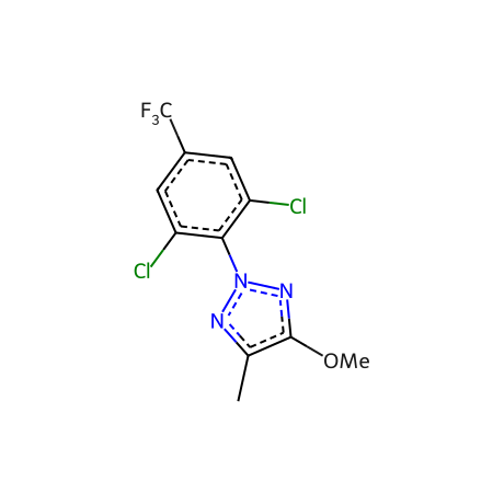 COc1nn(-c2c(Cl)cc(C(F)(F)F)cc2Cl)nc1C